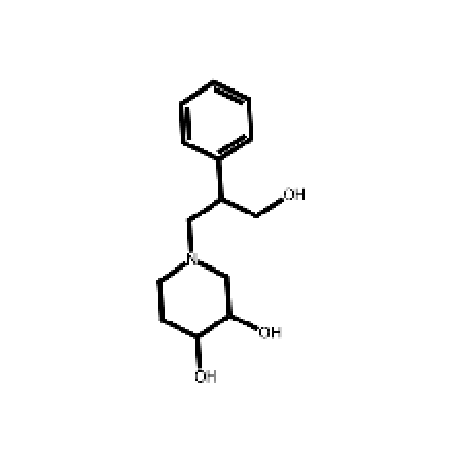 OCC(CN1CCC(O)C(O)C1)c1ccccc1